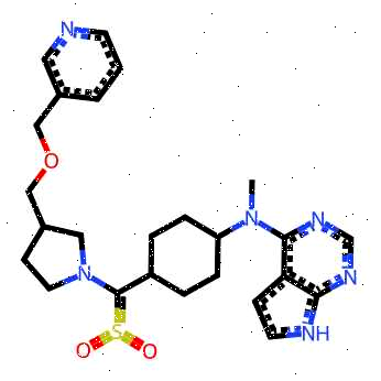 CN(c1ncnc2[nH]ccc12)C1CCC(C(N2CCC(COCc3cccnc3)C2)=S(=O)=O)CC1